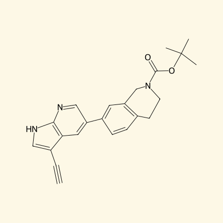 C#Cc1c[nH]c2ncc(-c3ccc4c(c3)CN(C(=O)OC(C)(C)C)CC4)cc12